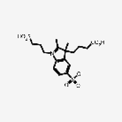 CC1=[N+](CCCS(=O)(=O)O)c2ccc(S(=O)(=O)[O-])cc2C1(C)CCCC(=O)O